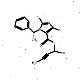 CC#CC(C)OC(=O)c1c(Cl)nc(Cl)n1[C@H](C)c1ccccc1